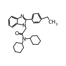 CCc1ccc(-c2nc3ccccc3n2CC(=O)N(C2CCCCC2)C2CCCCC2)cc1